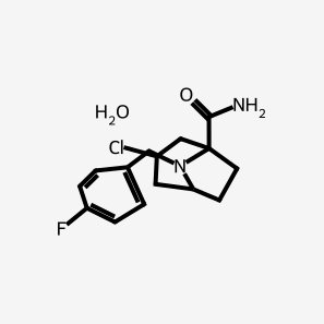 NC(=O)C12CCC(CC(Cl)C1)N2Cc1ccc(F)cc1.O